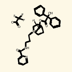 O=C(NCCC[N+]12CCC(CC1)[C@@H](OC(=O)C(O)(c1ccccc1)c1ccccc1)C2)c1ccccn1.O=C([O-])C(F)(F)F